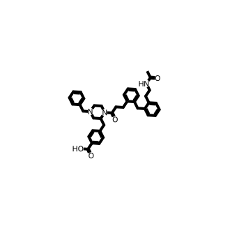 CC(=O)NCCc1ccccc1Cc1ccccc1CCC(=O)N1CCN(Cc2ccccc2)CC1Cc1ccc(C(=O)O)cc1